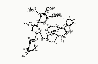 COc1cc(C(=O)N(C)CC(CCN2CCC(Nc3nc4ccccc4n3-c3ccco3)CC2)c2ccc(F)cc2)cc(OC)c1OC